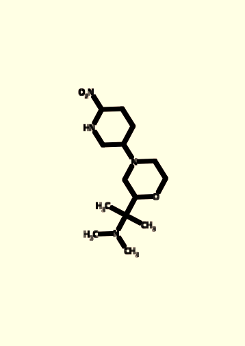 CN(C)C(C)(C)C1CN(C2CCC([N+](=O)[O-])NC2)CCO1